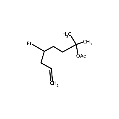 C=CCC(CC)CCC(C)(C)OC(C)=O